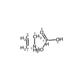 C=C.CN.O=[PH](O)O